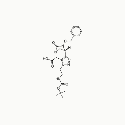 CC(C)(C)OC(=O)NCCn1ncc2c1[C@@H](C(=O)O)N1C[C@@H]2N(OCc2ccccc2)C1=O